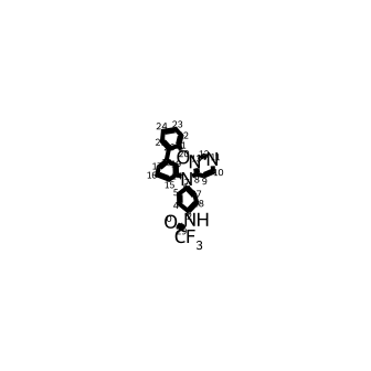 O=C(Nc1ccc(N(c2ccncn2)c2cccc3c2oc2ccccc23)cc1)C(F)(F)F